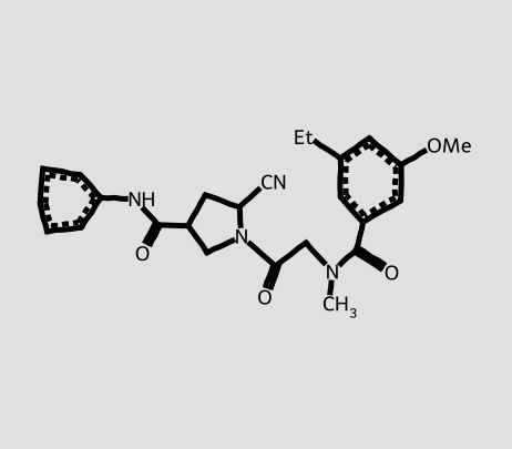 CCc1cc(OC)cc(C(=O)N(C)CC(=O)N2CC(C(=O)Nc3ccccc3)CC2C#N)c1